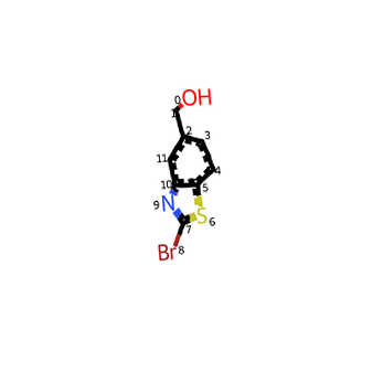 OCc1ccc2sc(Br)nc2c1